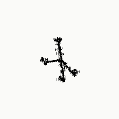 COP(=O)(O)OCC1CCCN1C(=O)CCCCCCCCCCC(=O)NC(COCCC(=O)NCCCNC(=O)CCCCO[C@@H]1OC2CO[C@@H]2C(O)[C@@H]1NC(C)=O)(COCCC(=O)NCCCNC(=O)CCCCO[C@@H]1OC2CO[C@@H]2C(O)[C@@H]1NC(C)=O)COCCC(=O)NCCCNC(=O)CCCCO[C@@H]1OC2CO[C@@H]2C(O)[C@@H]1NC(C)=O